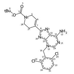 CC(C)(C)OC(=O)N1CC=C(c2nc3c(N)ncn(Cc4c(Cl)cccc4Cl)c-3n2)CC1